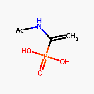 C=C(NC(C)=O)P(=O)(O)O